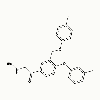 Cc1ccc(OCc2cc(C(=O)CNC(C)(C)C)ccc2Oc2cccc(C)c2)cc1